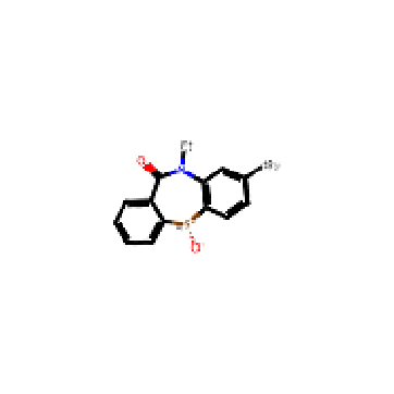 CCN1C(=O)c2ccccc2[S@@+]([O-])c2ccc(C(C)(C)C)cc21